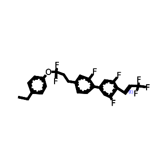 CCc1ccc(OC(F)(F)CCc2ccc(-c3cc(F)c(/C=C/C(F)(F)F)c(F)c3)c(F)c2)cc1